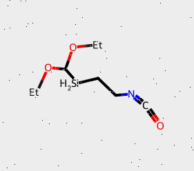 CCOC(OCC)[SiH2]CCN=C=O